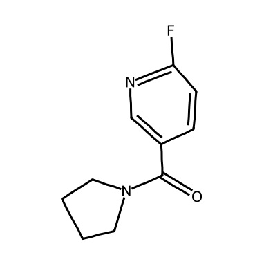 O=C(c1ccc(F)nc1)N1CCCC1